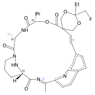 CCC1(CF)OCC2(/C=C/c3ccc4ccc(nc4c3)/C(C)=N/C(=O)[C@@H]3CCCN(N3)C(=O)[C@H](C)NC(=O)[C@H](C(C)C)OC2=O)CO1